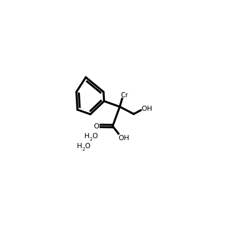 O.O.O=C(O)[C]([Cr])(CO)c1ccccc1